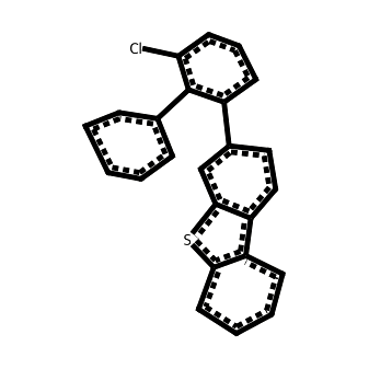 Clc1cccc(-c2ccc3c(c2)sc2ccccc23)c1-c1ccccc1